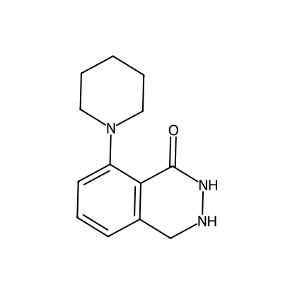 O=C1NNCc2cccc(N3CCCCC3)c21